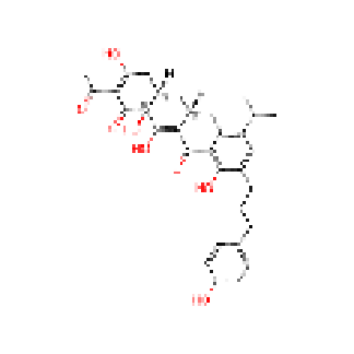 CC(=O)C1=C(O)C[C@@H]2C[C@@H]3Cc4c(C(C)C)cc(CCCc5ccc(O)cc5)c(O)c4C(=O)C3=C(O)[C@]2(O)C1=O